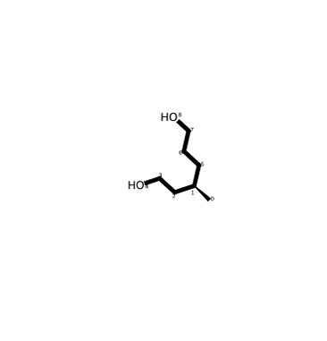 C[C@@H](CCO)CCCO